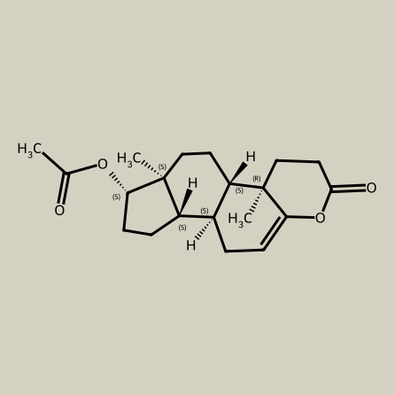 CC(=O)O[C@H]1CC[C@H]2[C@@H]3CC=C4OC(=O)CC[C@]4(C)[C@H]3CC[C@]12C